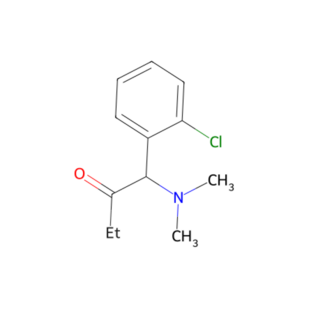 CCC(=O)C(c1ccccc1Cl)N(C)C